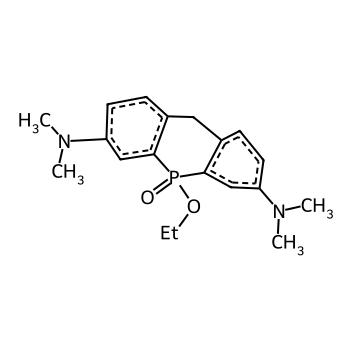 CCOP1(=O)c2cc(N(C)C)ccc2Cc2ccc(N(C)C)cc21